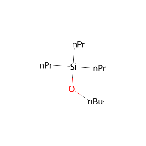 CCC[CH]O[Si](CCC)(CCC)CCC